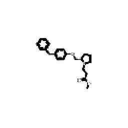 COC(=O)CCN1CCC[C@@H]1COc1ccc(Cc2ccccc2)cc1